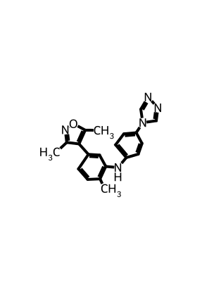 Cc1ccc(-c2c(C)noc2C)cc1Nc1ccc(-n2cnnc2)cc1